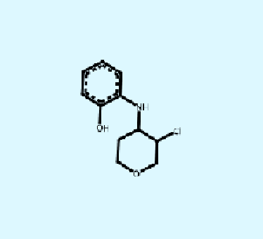 Oc1ccccc1NC1CCO[CH]C1Cl